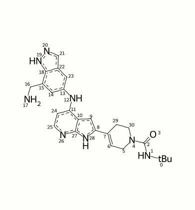 CC(C)(C)NC(=O)N1CC=C(c2cc3c(Nc4cc(CN)c5[nH]ncc5c4)ccnc3[nH]2)CC1